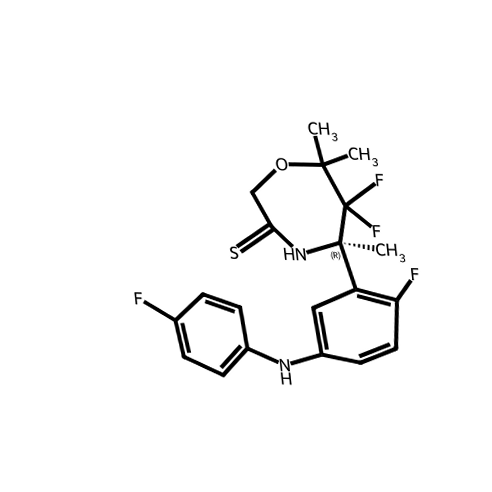 CC1(C)OCC(=S)N[C@](C)(c2cc(Nc3ccc(F)cc3)ccc2F)C1(F)F